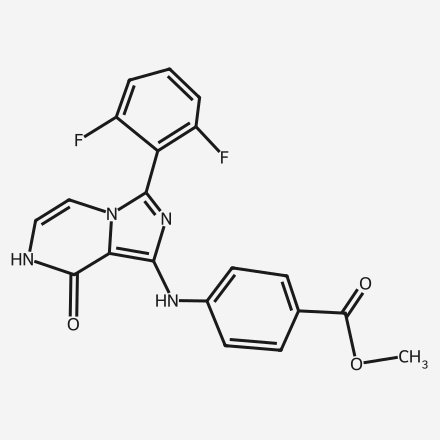 COC(=O)c1ccc(Nc2nc(-c3c(F)cccc3F)n3cc[nH]c(=O)c23)cc1